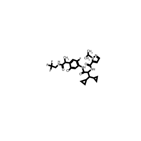 CC(C(=O)NCC(F)(F)F)c1cc(F)c(NC(=O)C(NC(=O)c2ccnn2C(C)C)C(C2CC2)C2CC2)cc1Cl